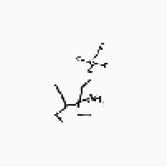 CCC(C)C([NH3+])(CC)CC.F[B-](F)(F)F